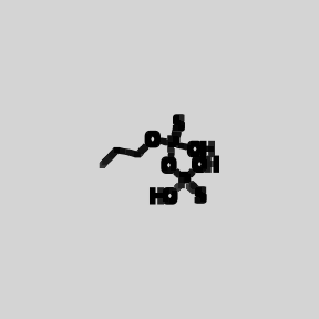 CCCOP(O)(=S)OP(O)(O)=S